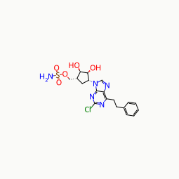 NS(=O)(=O)OC[C@H]1C[C@@H](n2cnc3c(CCc4ccccc4)nc(Cl)nc32)[C@H](O)[C@@H]1O